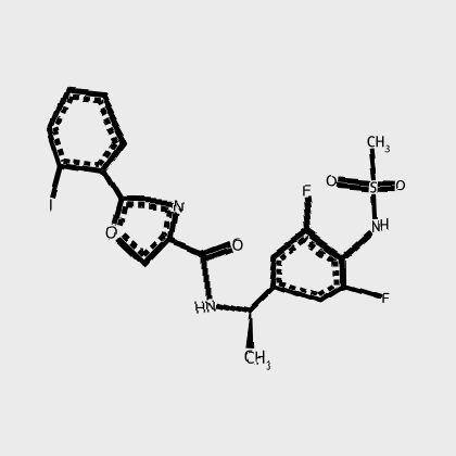 C[C@@H](NC(=O)c1coc(-c2ccccc2I)n1)c1cc(F)c(NS(C)(=O)=O)c(F)c1